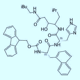 CCC(C)CNC(=O)CC(O)C(CC(C)C)NC(=O)[C@H](Cc1c[nH]cn1)NC(=O)[C@H](Cc1cccc2ccccc12)NC(=O)OCC1c2ccccc2-c2ccccc21